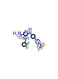 NC(=O)c1cnc(Nc2ccc(N3CCN(C(=O)C(F)(F)F)CC3)cc2)cc1NCc1cccc(F)c1F